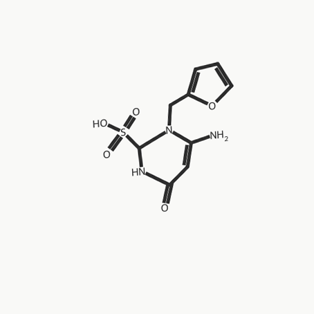 NC1=CC(=O)NC(S(=O)(=O)O)N1Cc1ccco1